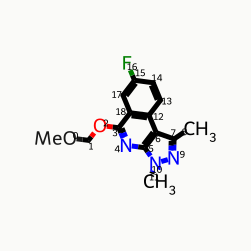 COCOc1nc2c(c(C)nn2C)c2ccc(F)cc12